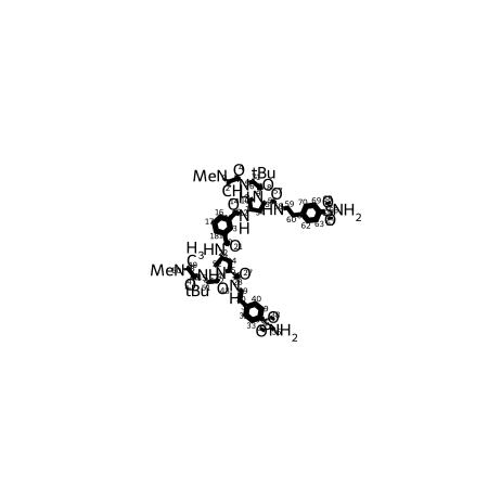 CN[C@@H](C)C(=O)N[C@H](C(=O)N1C[C@@H](NC(=O)c2cccc(C(=O)N[C@H]3C[C@@H](C(=O)NCCc4ccc(S(N)(=O)=O)cc4)N(C(=O)[C@@H](NC(=O)[C@H](C)NC)C(C)(C)C)C3)c2)C[C@H]1C(=O)NCCc1ccc(S(N)(=O)=O)cc1)C(C)(C)C